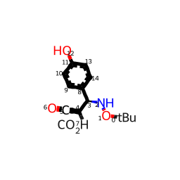 CC(C)(C)ON[C@@H](C(=C=O)C(=O)O)c1ccc(O)cc1